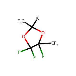 FC(F)(F)[C]1([K])OC(F)(F)C(F)(C(F)(F)F)O1